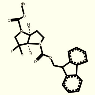 CC(C)(C)OC(=O)N1CC(F)(F)[C@H]2[C@@H]1CCN2C(=O)OCC1c2ccccc2-c2ccccc21